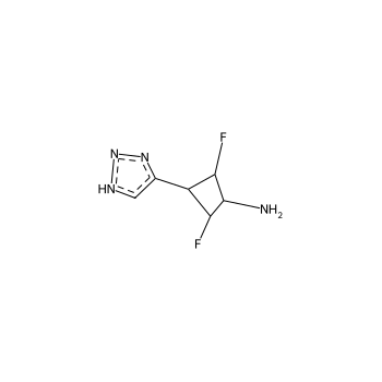 NC1C(F)C(c2c[nH]nn2)C1F